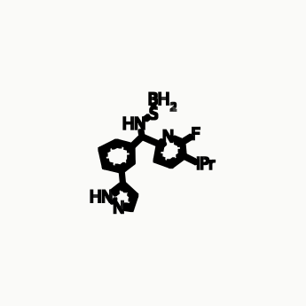 BSNC(c1cccc(-c2ccn[nH]2)c1)c1ccc(C(C)C)c(F)n1